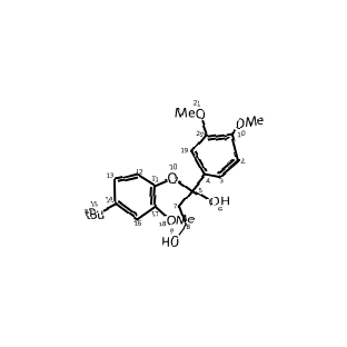 COc1ccc(C(O)(CCO)Oc2ccc(C(C)(C)C)cc2OC)cc1OC